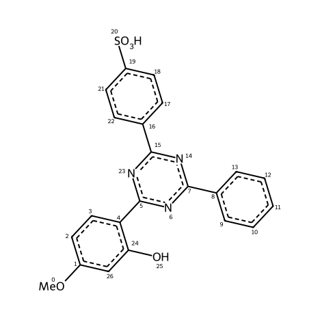 COc1ccc(-c2nc(-c3ccccc3)nc(-c3ccc(S(=O)(=O)O)cc3)n2)c(O)c1